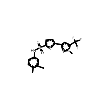 Cc1ccc(NS(=O)(=O)c2ccc(-c3cc(C(F)(F)F)n(C)n3)s2)cc1C